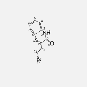 O=C1Nc2ccccc2SC1CCBr